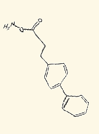 NOC(=O)CCc1ccc(-c2ccccc2)cc1